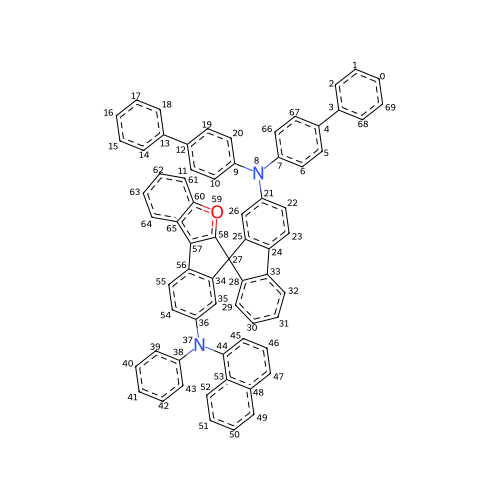 c1ccc(-c2ccc(N(c3ccc(-c4ccccc4)cc3)c3ccc4c(c3)C3(c5ccccc5-4)c4cc(N(c5ccccc5)c5cccc6ccccc56)ccc4-c4c3oc3ccccc43)cc2)cc1